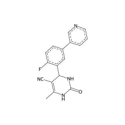 CC1=C(C#N)C(c2cc(-c3cccnc3)ccc2F)NC(=O)N1